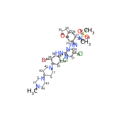 CN1CCN(C2CCN(c3cc(Cl)c(Nc4ncc(Cl)c(Nc5cc6c(cc5N(C)S(C)(=O)=O)CCO6)n4)cc3Br)CC2)CC1